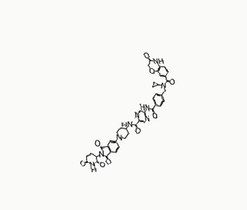 O=C1CCC(N2C(=O)c3ccc(N4CCC(NC(=O)c5cnc(NC(=O)c6ccc(CN(C(=O)c7ccc8c(c7)OCC(=O)N8)C7CC7)cc6)cn5)CC4)cc3C2=O)C(=O)N1